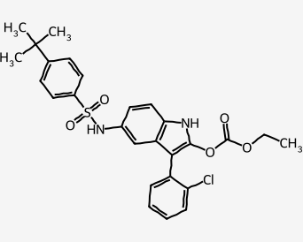 CCOC(=O)Oc1[nH]c2ccc(NS(=O)(=O)c3ccc(C(C)(C)C)cc3)cc2c1-c1ccccc1Cl